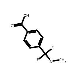 COC(F)(F)c1ccc(C(=O)O)cc1